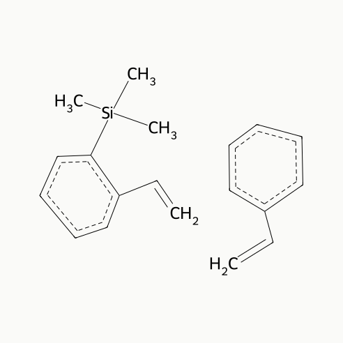 C=Cc1ccccc1.C=Cc1ccccc1[Si](C)(C)C